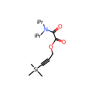 CC(C)N(C(=O)C(=O)OCC#C[Si](C)(C)C)C(C)C